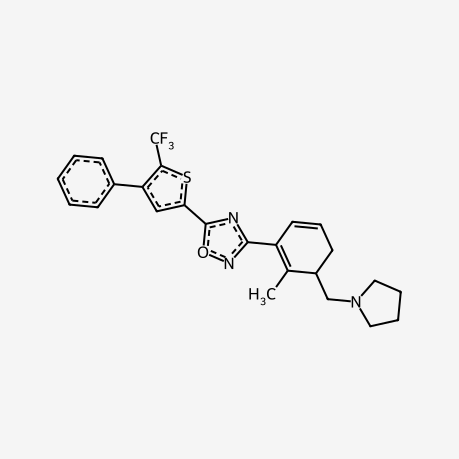 CC1=C(c2noc(-c3cc(-c4ccccc4)c(C(F)(F)F)s3)n2)C=CCC1CN1CCCC1